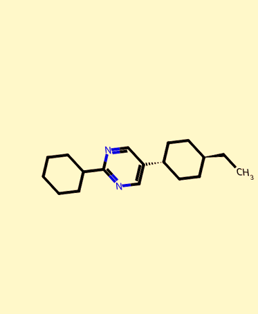 CC[C@H]1CC[C@H](c2cnc(C3CCCCC3)nc2)CC1